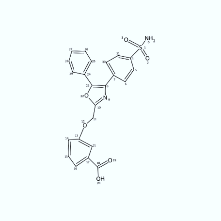 NS(=O)(=O)c1ccc(-c2nc(COc3cccc(C(=O)O)c3)oc2-c2ccccc2)cc1